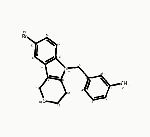 Cc1cccc(Cn2c3c(c4cc(Br)ccc42)CSCC3)c1